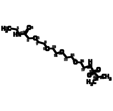 CCNC(=O)COCCOCCOCCOCCNS(=O)(=O)C(C)C